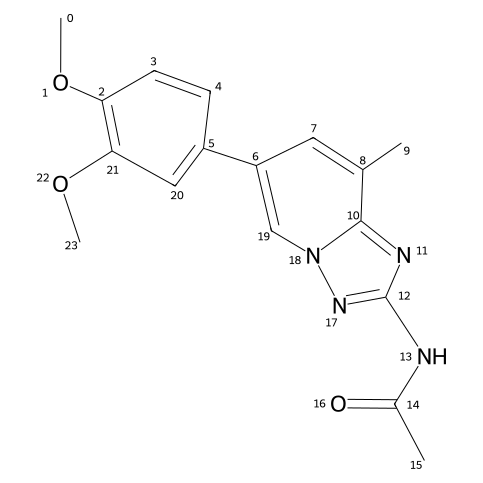 COc1ccc(-c2cc(C)c3nc(NC(C)=O)nn3c2)cc1OC